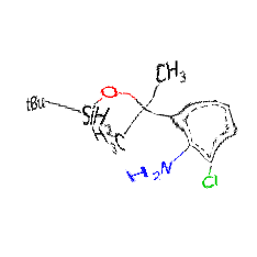 CC(C)(C)[SiH2]OC(C)(C)c1cccc(Cl)c1N